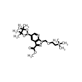 COC(=O)c1nn(COCCS(C)(C)C)c2ncc(B3OC(C)(C)C(C)(C)O3)cc12